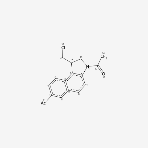 CC(=O)c1ccc2c3c(ccc2c1)N(C(=O)C(F)(F)F)CC3CCl